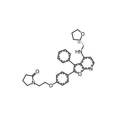 O=C1CCCN1CCOc1ccc(-c2oc3nccc(NC[C@@H]4CCCO4)c3c2-c2ccccc2)cc1